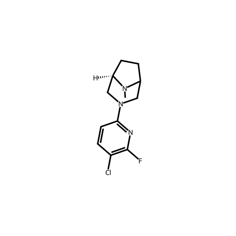 CN1C2CC[C@@H]1CN(c1ccc(Cl)c(F)n1)C2